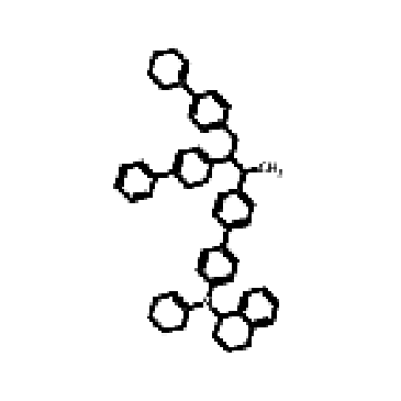 CC(c1ccc(-c2ccc(N(C3=CCCCC3)C3CCCc4ccccc43)cc2)cc1)C(Cc1ccc(C2=CCCCC2)cc1)C1=CC=C(c2ccccc2)CC1